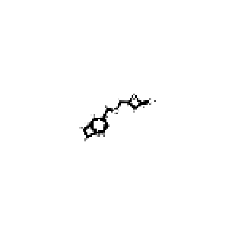 O=C1CC(COCc2ccc3c(c2)CC3)O1